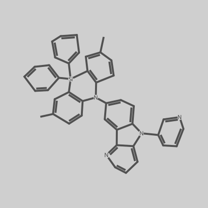 Cc1ccc2c(c1)[Si](c1ccccc1)(c1ccccc1)c1cc(C)ccc1N2c1ccc2c(c1)c1ncccc1n2-c1cccnc1